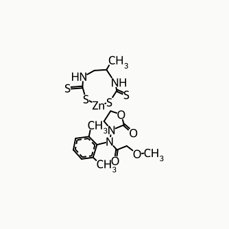 CC1CNC(=S)[S][Zn][S]C(=S)N1.COCC(=O)N(c1c(C)cccc1C)N1CCOC1=O